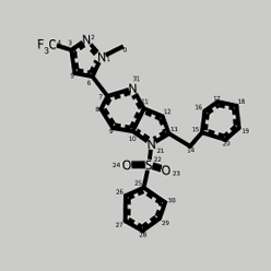 Cn1nc(C(F)(F)F)cc1-c1ccc2c(cc(Cc3ccccc3)n2S(=O)(=O)c2ccccc2)n1